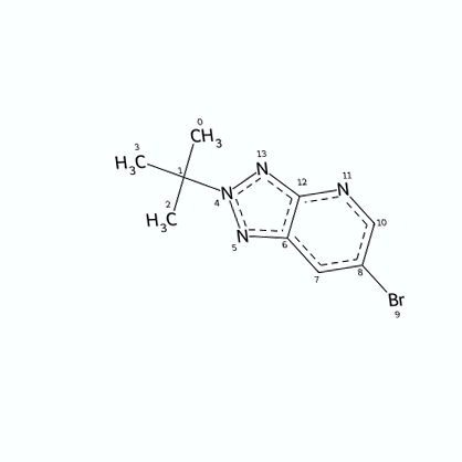 CC(C)(C)n1nc2cc(Br)cnc2n1